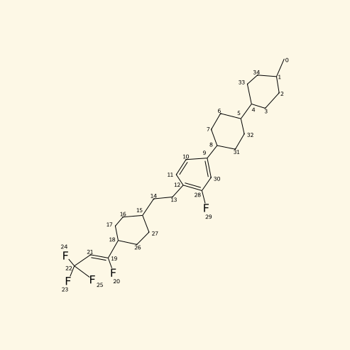 CC1CCC(C2CCC(c3ccc(CCC4CCC(/C(F)=C/C(F)(F)F)CC4)c(F)c3)CC2)CC1